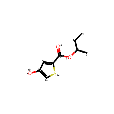 CCC(C)OC(=O)c1cc([O])cs1